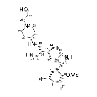 COc1c(F)cc(F)cc1-c1c[nH]c2ncc(/C(C=N)=C/NC3CCN(CCO)CC3)cc12